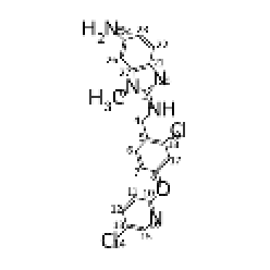 Cn1c(NCc2ccc(Oc3ccc(Cl)cn3)cc2Cl)nc2ccc(N)cc21